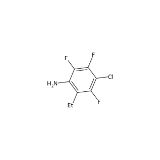 CCc1c(N)c(F)c(F)c(Cl)c1F